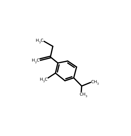 C=C(CC)c1ccc(C(C)C)cc1C